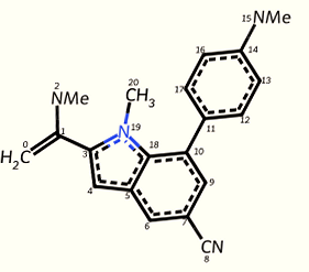 C=C(NC)c1cc2cc(C#N)cc(-c3ccc(NC)cc3)c2n1C